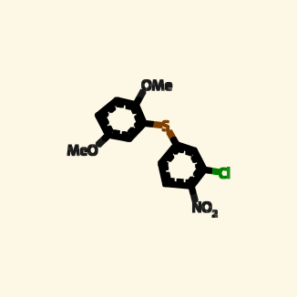 COc1ccc(OC)c(Sc2ccc([N+](=O)[O-])c(Cl)c2)c1